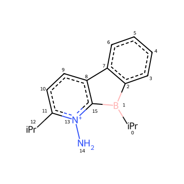 CC(C)B1c2ccccc2-c2ccc(C(C)C)[n+](N)c21